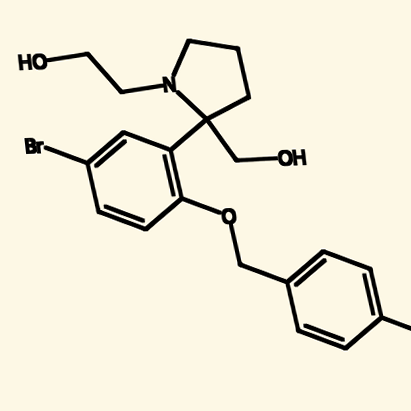 OCCN1CCCC1(CO)c1cc(Br)ccc1OCc1ccc(Cl)cc1